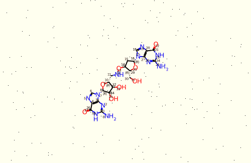 Nc1nc2c(ncn2[C@@H]2O[C@H](CNO[C@H]3C[C@H](n4cnc5c(=O)[nH]c(N)nc54)O[C@@H]3CO)[C@@H](O)[C@H]2O)c(=O)[nH]1